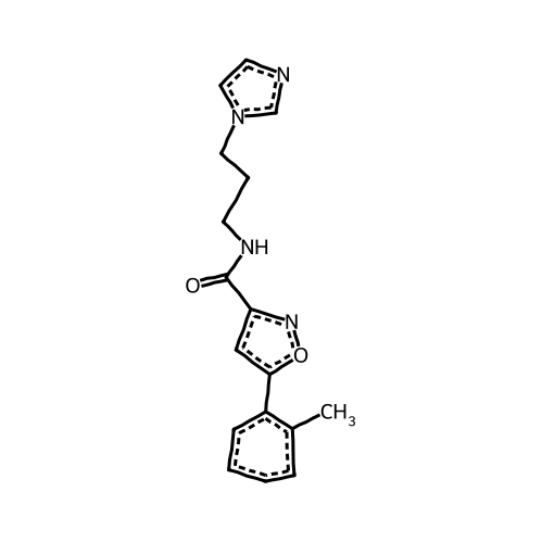 Cc1ccccc1-c1cc(C(=O)NCCCn2ccnc2)no1